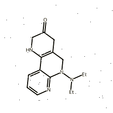 CCN(CC)N1CC2=C(NCC(=O)C2)c2cccnc21